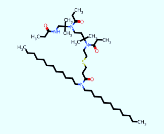 CCCCCCCCCCCCN(CCCCCCCCCCCC)C(=O)CCSCCN(C(=O)CC)C(C)(C)CCN(C(=O)CC)C(C)(C)CNC(=O)CC